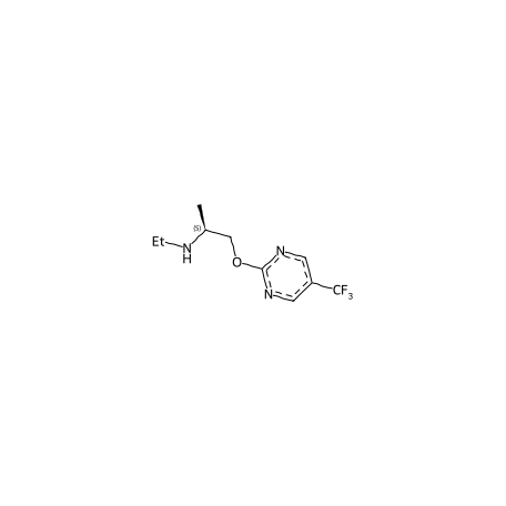 CCN[C@@H](C)COc1ncc(C(F)(F)F)cn1